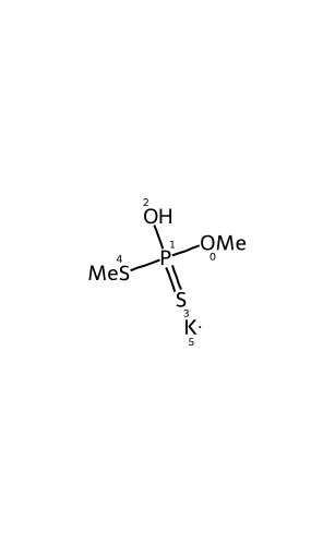 COP(O)(=S)SC.[K]